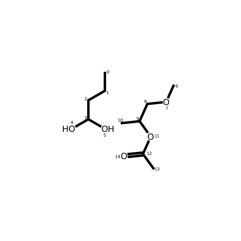 CCCC(O)O.COCC(C)OC(C)=O